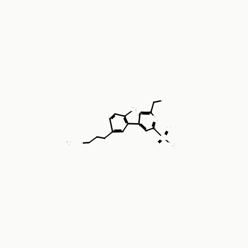 COCCCc1ccc2[nH]c3c(CO)nc(S(N)(=O)=O)cc3c2c1